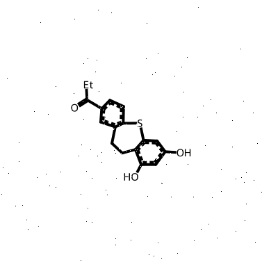 CCC(=O)c1ccc2c(c1)CCc1c(O)cc(O)cc1S2